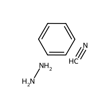 C#N.NN.c1ccccc1